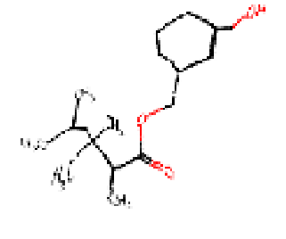 CC(C)C(C)(C)C(C)C(=O)OCC1CCCC(O)C1